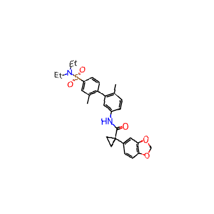 CCN(CC)S(=O)(=O)c1ccc(-c2cc(NC(=O)C3(c4ccc5c(c4)OCO5)CC3)ccc2C)c(C)c1